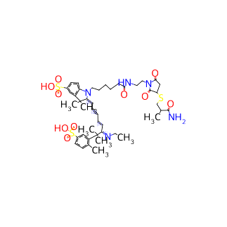 CC\N=C(/C=C/C=C/C=C1/N(CCCCCC(=O)NCCN2C(=O)CC(SCC(C)C(N)=O)C2=O)c2ccc(S(=O)(=O)O)cc2C1(C)C)C(C)(C)c1cc(S(=O)(=O)O)ccc1C